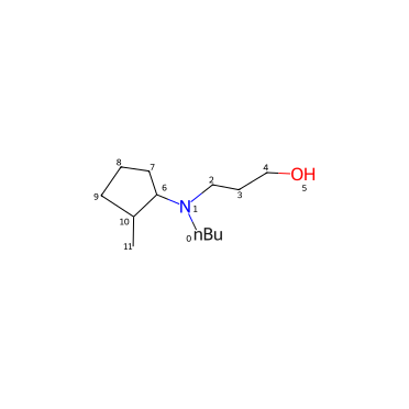 CCCCN(CCCO)C1CCCC1C